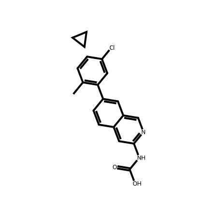 C1CC1.Cc1ccc(Cl)cc1-c1ccc2cc(NC(=O)O)ncc2c1